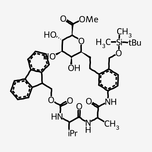 COC(=O)[C@H]1O[C@@H](CCc2cc(NC(=O)C(C)NC(=O)C(NC(=O)OCC3c4ccccc4-c4ccccc43)C(C)C)ccc2CO[Si](C)(C)C(C)(C)C)[C@@H](O)[C@@H](O)[C@@H]1O